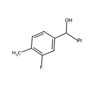 Cc1ccc(C(O)C(C)C)cc1F